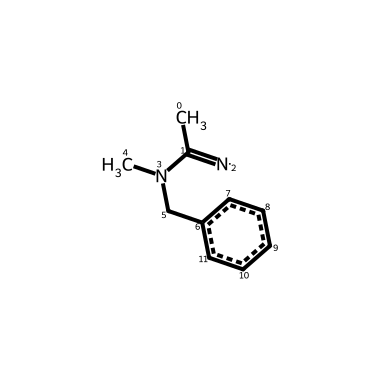 CC(=[N])N(C)Cc1ccccc1